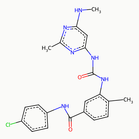 CNc1cc(NC(=O)Nc2cc(C(=O)Nc3ccc(Cl)cc3)ccc2C)nc(C)n1